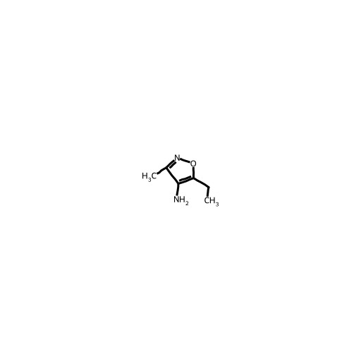 CCc1onc(C)c1N